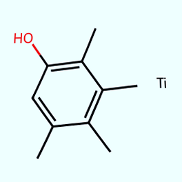 Cc1cc(O)c(C)c(C)c1C.[Ti]